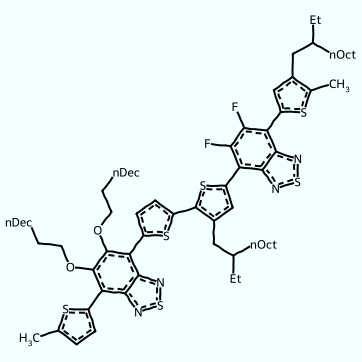 CCCCCCCCCCCCOc1c(OCCCCCCCCCCCC)c(-c2ccc(-c3sc(-c4c(F)c(F)c(-c5cc(CC(CC)CCCCCCCC)c(C)s5)c5nsnc45)cc3CC(CC)CCCCCCCC)s2)c2nsnc2c1-c1ccc(C)s1